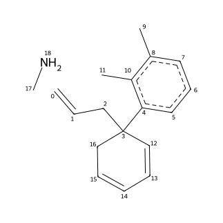 C=CCC1(c2cccc(C)c2C)C=CC=CC1.CN